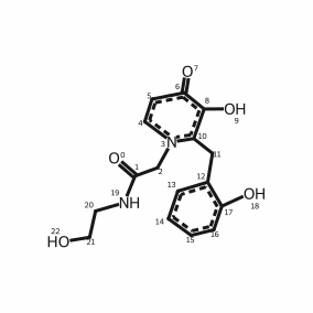 O=C(Cn1ccc(=O)c(O)c1Cc1ccccc1O)NCCO